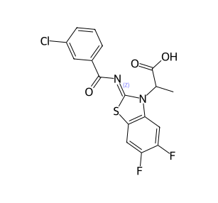 CC(C(=O)O)n1/c(=N/C(=O)c2cccc(Cl)c2)sc2cc(F)c(F)cc21